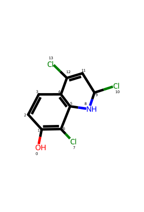 Oc1ccc2c(c1Cl)NC(Cl)C=C2Cl